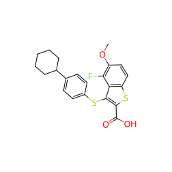 COc1ccc2sc(C(=O)O)c(Sc3ccc(C4CCCCC4)cc3)c2c1F